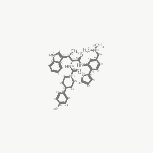 C[C@H](c1c[nH]c2ccccc12)[C@@H](NC(=O)N1CCC(c2ccc(F)cc2)CC1)C(=O)Nc1cc(CN(C)C)ccc1-c1cccs1